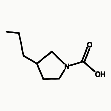 CCCC1CCN(C(=O)O)C1